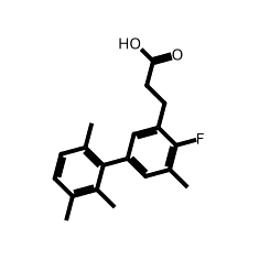 Cc1ccc(C)c(-c2cc(C)c(F)c(CCC(=O)O)c2)c1C